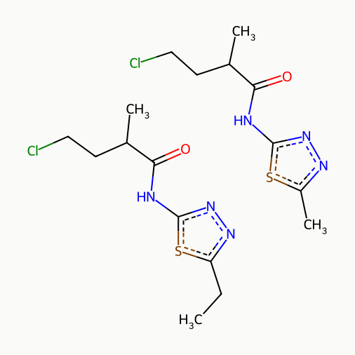 CCc1nnc(NC(=O)C(C)CCCl)s1.Cc1nnc(NC(=O)C(C)CCCl)s1